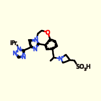 CC(c1ccc2c(c1)-c1nc(-c3ncnn3C(C)C)cn1CCO2)N1CC(CS(=O)(=O)O)C1